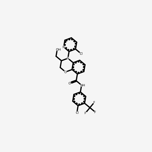 O=C(Nc1ccc(Cl)c(C(F)(F)F)c1)c1cccc2c1OCC(CO)N2c1ncccc1Cl